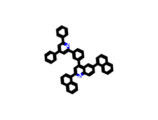 c1ccc(-c2cc(-c3ccccc3)nc(-c3cccc(-c4cc(-c5cccc6ccccc56)nc5ccc(-c6cccc7ccccc67)cc45)c3)c2)cc1